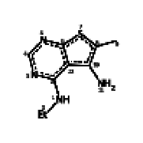 CCNc1ncnc2sc(C)c(N)c12